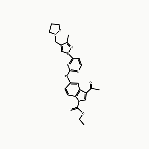 CCOC(=O)n1cc(C(C)=O)c2cc(Nc3nccc(-n4cc(CN5CCCO5)c(C)n4)n3)ccc21